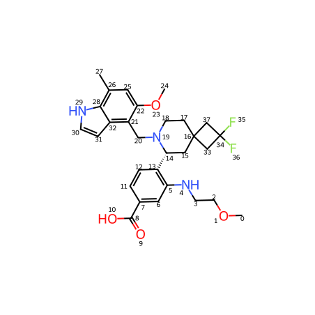 COCCNc1cc(C(=O)O)ccc1[C@H]1CC2(CCN1Cc1c(OC)cc(C)c3[nH]ccc13)CC(F)(F)C2